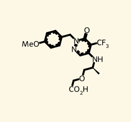 COc1ccc(Cn2ncc(N[C@@H](C)COCC(=O)O)c(C(F)(F)F)c2=O)cc1